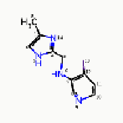 Cc1c[nH]c(CNc2cnccc2I)n1